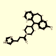 O=C(CCc1c[nH]cn1)N1CCC(C2c3ccc(Cl)cc3CCc3cccnc32)CC1